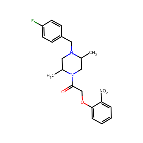 CC1CN(C(=O)COc2ccccc2[N+](=O)[O-])C(C)CN1Cc1ccc(F)cc1